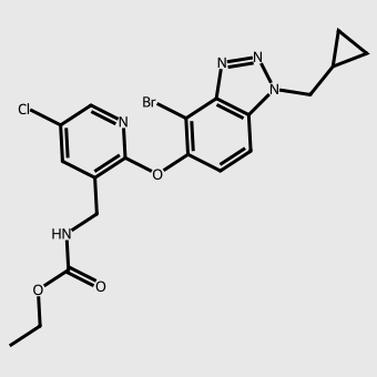 CCOC(=O)NCc1cc(Cl)cnc1Oc1ccc2c(nnn2CC2CC2)c1Br